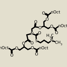 CCCCCCCCC(=O)OCC(COC(=O)CCCCCCCC)OC(=O)CN(CC(=O)OC(COC(=O)CCCCCCCC)COC(=O)CCCCCCCC)C(=O)SCCCN(C)C